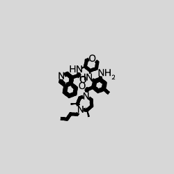 CCCCN1[C@H](C)CCN(C(=O)c2cc(C)cc(N)c2N[C@@H]2CCOC[C@@H]2NC(=O)c2cncc3ccccc23)C[C@@H]1C